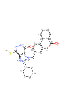 CSc1nnc(O)c2c1nc(C1CCCCC1)n2Cc1ccc(-c2ccccc2C(=O)O)cc1